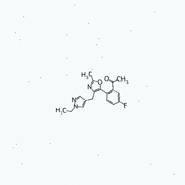 CCn1cc(Cc2nc(C)oc2-c2ccc(F)cc2C(C)=O)cn1